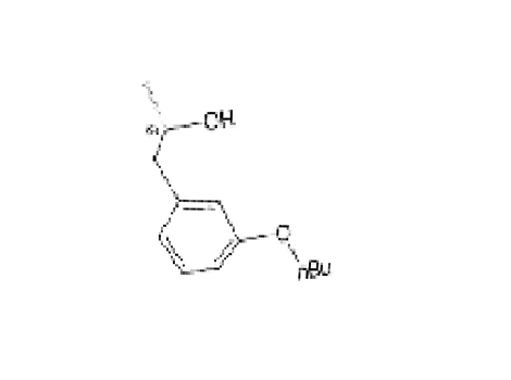 CCCCOc1cccc(C[C@H](C)O)c1